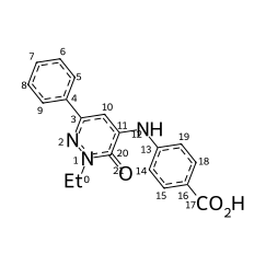 CCn1nc(-c2ccccc2)cc(Nc2ccc(C(=O)O)cc2)c1=O